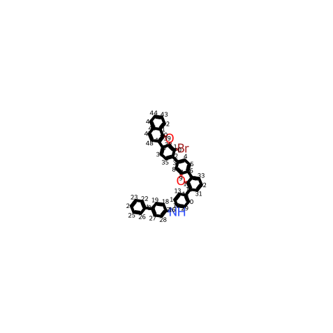 Brc1c(-c2ccc3c(c2)oc2c(-c4ccc(Nc5ccc(-c6ccccc6)cc5)cc4)cccc23)ccc2c1oc1c3ccccc3ccc21